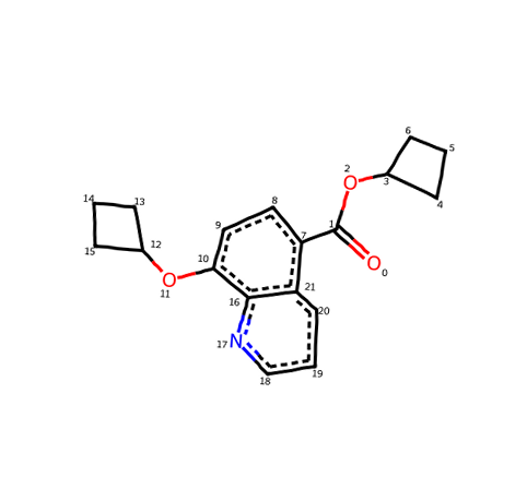 O=C(OC1CCC1)c1ccc(OC2CCC2)c2ncccc12